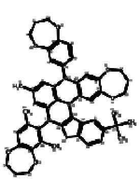 Cc1cc2c3c(c1)N(c1c(C)cc4c(c1C)OCCCO4)c1sc4ccc(C(C)(C)C)cc4c1B3c1cc3c(cc1N2c1ccc2c(c1)OCCCO2)OCCCO3